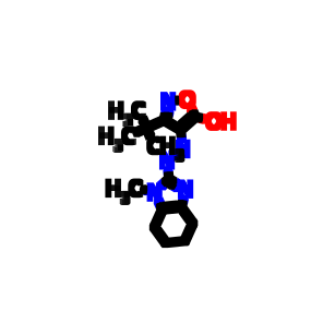 Cn1c(N=Nc2c(C(C)(C)C)noc2O)nc2c1CCCC2